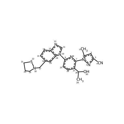 Cc1cc(C#N)nn1-c1nc(-n2cnc3ccc(CN4CCCS4)cc32)ccc1C(C)O